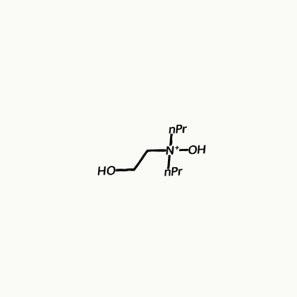 CCC[N+](O)(CCC)CCO